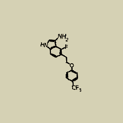 Nc1c[nH]c2ccc(CCOc3ccc(C(F)(F)F)cc3)c(F)c12